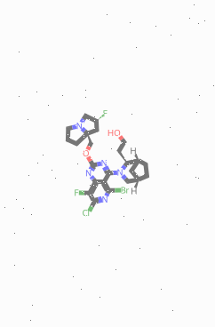 OCC[C@H]1[C@@H]2CC[C@@H](C2)CN1c1nc(OC[C@@]23CCCN2C[C@H](F)C3)nc2c(F)c(Cl)nc(Br)c12